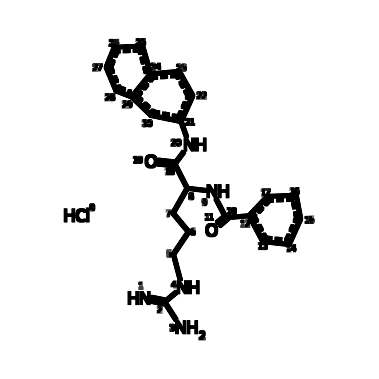 Cl.N=C(N)NCCCC(NC(=O)c1ccccc1)C(=O)Nc1ccc2ccccc2c1